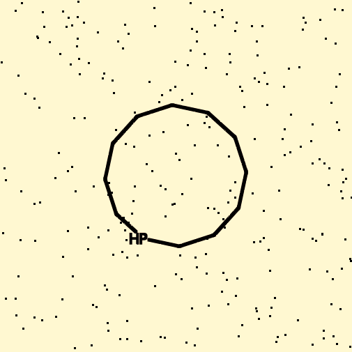 C1CCCCCPCCCCC1